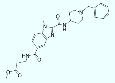 COC(=O)CCNC(=O)c1ccc2c(c1)nc(C(=O)NC1CCN(Cc3ccccc3)CC1)n2C